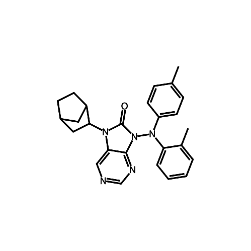 Cc1ccc(N(c2ccccc2C)n2c(=O)n(C3CC4CCC3C4)c3cncnc32)cc1